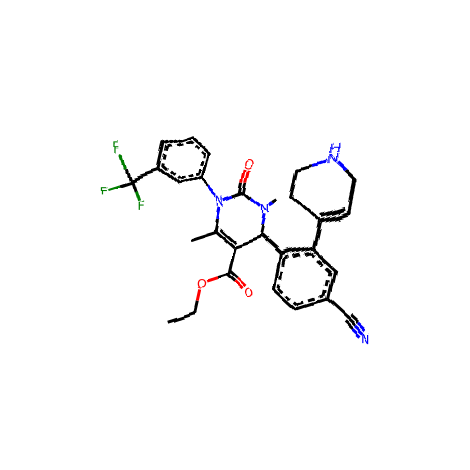 CCOC(=O)C1=C(C)N(c2cccc(C(F)(F)F)c2)C(=O)N(C)C1c1ccc(C#N)cc1C1=CCNCC1